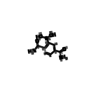 NC(=O)c1ccc(C(N)=O)c(B(O)O)c1